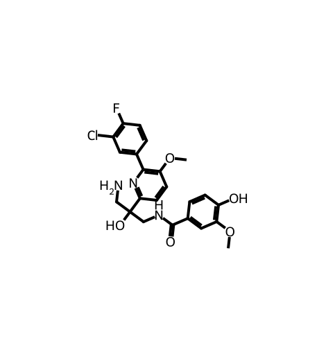 COc1cc(C(=O)NCC(O)(CN)c2ccc(OC)c(-c3ccc(F)c(Cl)c3)n2)ccc1O